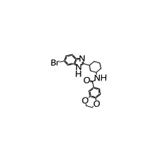 O=C(NC1CCCC(c2nc3ccc(Br)cc3[nH]2)C1)c1ccc2c(c1)OCCO2